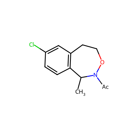 CC(=O)N1OCCc2cc(Cl)ccc2C1C